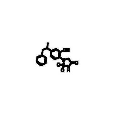 CC(Cc1ccccc1)c1ccc(N2CC(=O)NS2(=O)=O)c(O)c1